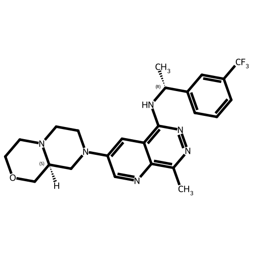 Cc1nnc(N[C@H](C)c2cccc(C(F)(F)F)c2)c2cc(N3CCN4CCOC[C@@H]4C3)cnc12